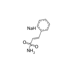 NS(=O)(=O)C=Cc1ccccc1.[NaH]